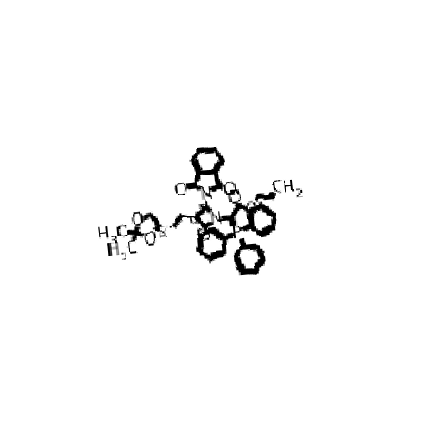 C=CCOC(=O)C(N1C(=O)[C@@H](CC[C@H]2COC(C)(C)O2)[C@@H]1N1C(=O)c2ccccc2C1=O)=P(c1ccccc1)(c1ccccc1)c1ccccc1